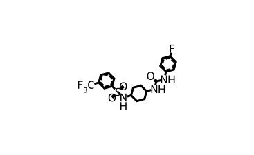 O=C(Nc1ccc(F)cc1)NC1CCC(NS(=O)(=O)c2cccc(C(F)(F)F)c2)CC1